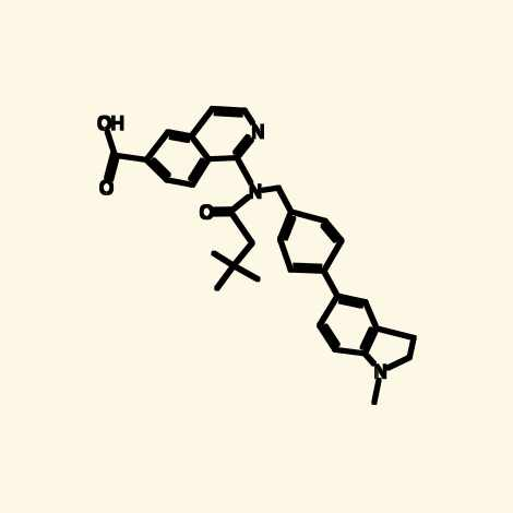 CN1CCc2cc(-c3ccc(CN(C(=O)CC(C)(C)C)c4nccc5cc(C(=O)O)ccc45)cc3)ccc21